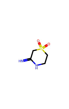 N=C1CS(=O)(=O)CCN1